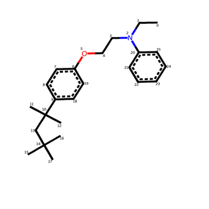 CCN(CCOc1ccc(C(C)(C)CC(C)(C)C)cc1)c1ccccc1